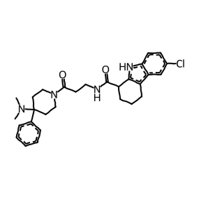 CN(C)C1(c2ccccc2)CCN(C(=O)CCNC(=O)C2CCCc3c2[nH]c2ccc(Cl)cc32)CC1